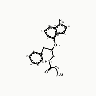 CC(C)(C)OC(=O)NCC(Cc1ccccc1)Oc1cccc2[nH]ccc12